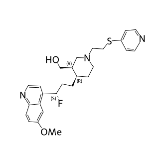 COc1ccc2nccc([C@@H](F)CC[C@@H]3CCN(CCSc4ccncc4)C[C@@H]3CO)c2c1